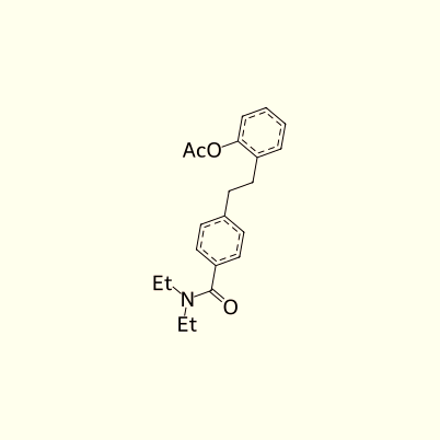 CCN(CC)C(=O)c1ccc(CCc2ccccc2OC(C)=O)cc1